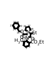 CCOC(=O)c1cccc(C)c1NC(=O)C(CC)[N+]1(CC(=O)OCc2ccccc2)CCCC1